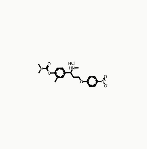 CNC(CCOc1ccc([N+](=O)[O-])cc1)c1ccc(OC(=O)N(C)C)c(C)c1.Cl